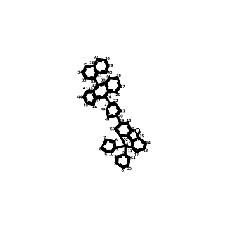 c1ccc(C2(c3ccccc3)c3cccc4oc5cc(-c6ccc(-c7c8ccccc8c(-c8cccc9ccccc89)c8ccccc78)cc6)cc2c5c34)cc1